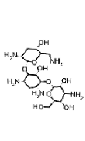 NC[C@H]1O[C@H](OC2[C@@H](N)C[C@@H](N)[C@H](O[C@H]3O[C@H](CO)[C@@H](O)[C@H](N)[C@H]3O)[C@H]2O)[C@H](N)C[C@@H]1O